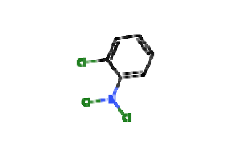 Clc1ccccc1N(Cl)Cl